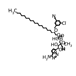 CCCCCCCCCCCCCCCCCC[C@H](COP(=O)(O)OCC(C#N)(OC)[C@@H](O)[C@@H](O)c1ccc2c(N)ncnn12)OCc1cc(Cl)cc(C#N)c1